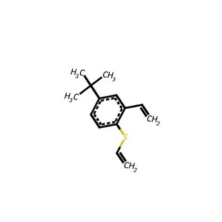 C=CSc1ccc(C(C)(C)C)cc1C=C